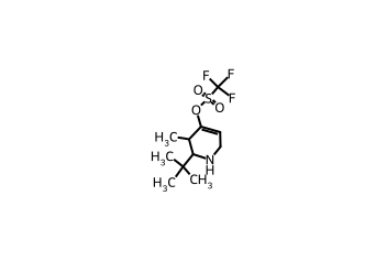 CC1C(OS(=O)(=O)C(F)(F)F)=CCNC1C(C)(C)C